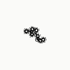 c1ccc(N(c2ccc3c(c2)oc2ccc4ccccc4c23)c2cccc3c2c2ccccc2n3-c2ccccc2)cc1